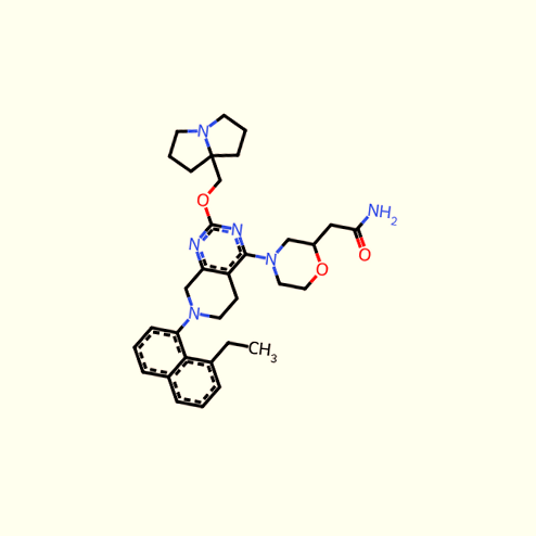 CCc1cccc2cccc(N3CCc4c(nc(OCC56CCCN5CCC6)nc4N4CCOC(CC(N)=O)C4)C3)c12